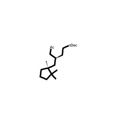 CCCCCCCCCCCC[C@H](CC(C)=O)C[C@]1(C)CCCC1(C)C